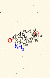 C[C@]12CCC(=O)C(N)=C1CC[C@@H]1[C@H]2CC[C@]2(C)OCC[C@@H]12